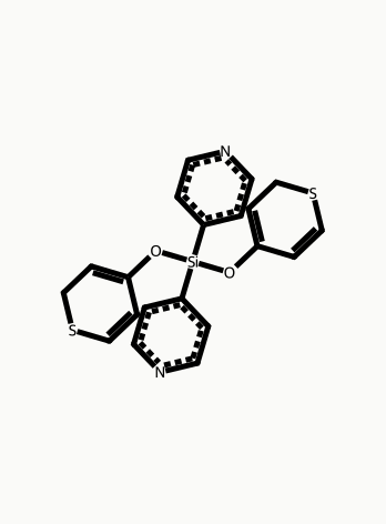 C1=CC(O[Si](OC2=CCSC=C2)(c2ccncc2)c2ccncc2)=CCS1